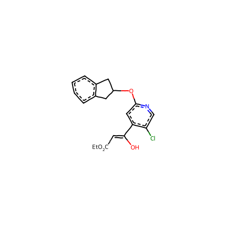 CCOC(=O)C=C(O)c1cc(OC2Cc3ccccc3C2)ncc1Cl